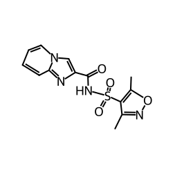 Cc1noc(C)c1S(=O)(=O)NC(=O)c1cn2ccccc2n1